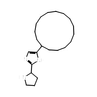 c1nc(C2CCCN2)[nH]c1C1CCCCCCCCCCCCCC1